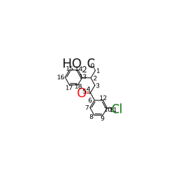 O=C(O)CC(CC(=O)c1cccc(Cl)c1)c1ccccc1